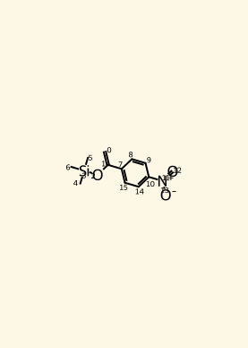 C=C(O[Si](C)(C)C)c1ccc([N+](=O)[O-])cc1